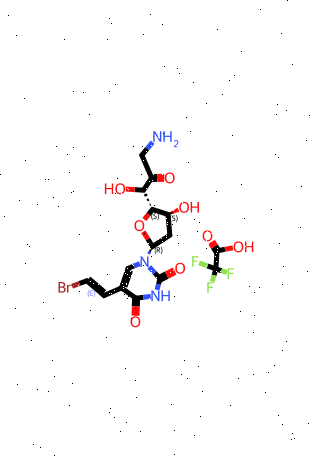 NCC(=O)C(O)[C@H]1O[C@@H](n2cc(/C=C/Br)c(=O)[nH]c2=O)C[C@@H]1O.O=C(O)C(F)(F)F